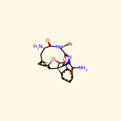 CC(C)[C@@H]1NC(=O)[C@@H](N)Cc2ccc3c(c2)[C@@]2(c4ccccc4NC2O3)c2oc1nc2C(N)=O